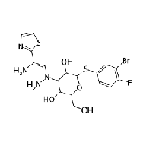 N/C(=C\N(N)C1C(O)C(CO)OC(Sc2ccc(F)c(Br)c2)C1O)c1nccs1